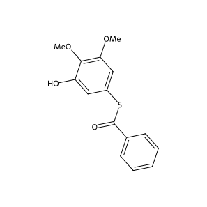 COc1cc(SC(=O)c2ccccc2)cc(O)c1OC